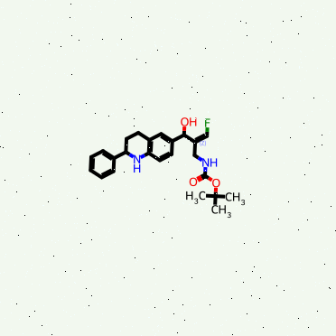 CC(C)(C)OC(=O)NC/C(=C/F)C(O)c1ccc2c(c1)CCC(c1ccccc1)N2